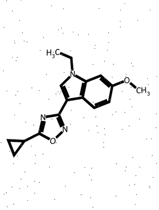 CCn1cc(-c2noc(C3CC3)n2)c2ccc(OC)cc21